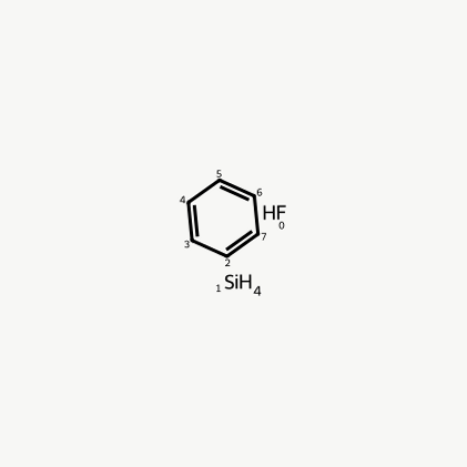 F.[SiH4].c1ccccc1